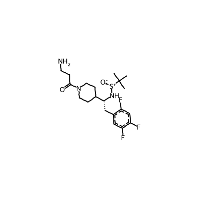 CC(C)(C)[S@+]([O-])N[C@H](Cc1cc(F)c(F)cc1F)C1CCN(C(=O)CCN)CC1